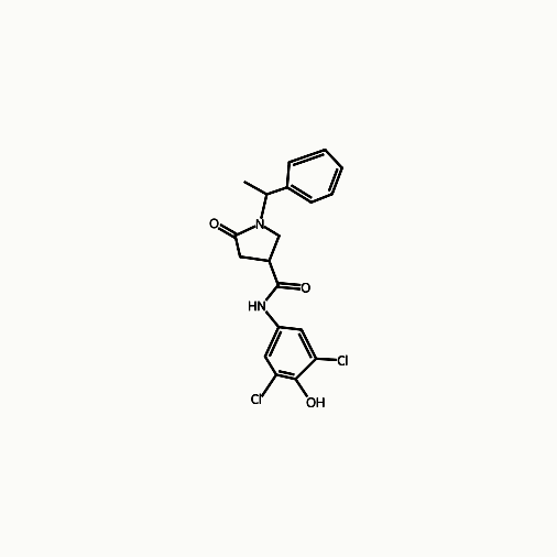 CC(c1ccccc1)N1CC(C(=O)Nc2cc(Cl)c(O)c(Cl)c2)CC1=O